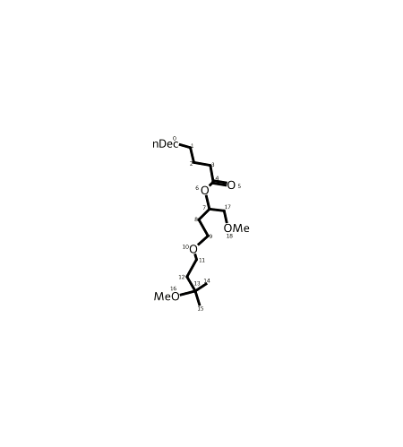 CCCCCCCCCCCCCC(=O)OC(CCOCCC(C)(C)OC)COC